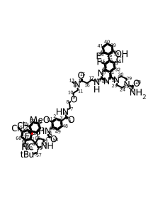 COc1cc(C(=O)NCCOCCN(C)C(=O)CCNc2nc(N3CCN(C(N)=O)CC3)c3cc(Cl)c(-c4c(O)cccc4F)c(F)c3n2)ccc1NC(=O)[C@@H]1N[C@@H](CC(C)(C)C)[C@](C#N)(c2ccc(Cl)cc2F)[C@H]1c1cccc(Cl)c1F